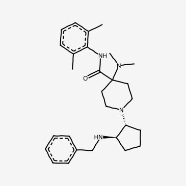 Cc1cccc(C)c1NC(=O)C1(N(C)C)CCN([C@@H]2CCC[C@H]2NCc2ccccc2)CC1